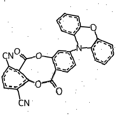 N#Cc1ccc(C#N)c2c1OC(=O)c1ccc(N3c4ccccc4Oc4ccccc43)cc1OC2=O